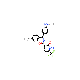 CNc1ccc(C(NC(=O)c2ccc(C(F)(F)F)[nH]c2=O)c2ccc(C)cc2)cc1